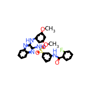 COc1cc(Nc2nc3ccccc3nc2NS(=O)(=O)c2cccc(NC(=O)c3ccccc3F)c2)cc(OC)c1